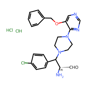 Cl.Cl.N[C@@H](C=O)C(c1ccc(Cl)cc1)N1CCN(c2ncncc2OCc2ccccc2)CC1